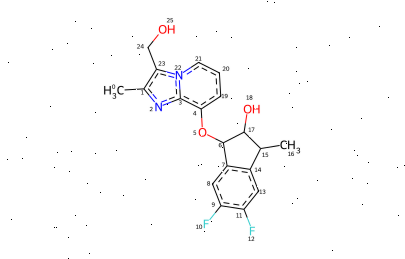 Cc1nc2c(OC3c4cc(F)c(F)cc4C(C)C3O)cccn2c1CO